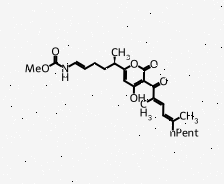 CCCCC/C(C)=C/C=C(\C)C(=O)c1c(O)cc([C@H](C)CC/C=C/NC(=O)OC)oc1=O